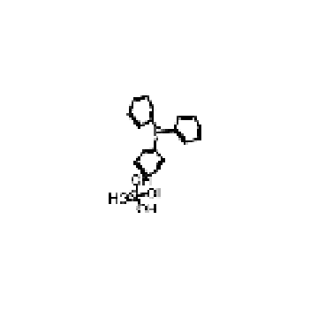 O[Si](O)(O)O.c1ccc(P(c2ccccc2)c2ccccc2)cc1